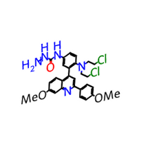 COc1ccc(-c2cc(-c3cc(NC(=O)NN)ccc3N(CCCl)CCCl)c3ccc(OC)cc3n2)cc1